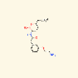 NCCOc1cccc(CC(=O)NC2CCC(CC(=O)O)OB2O)c1